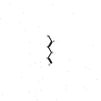 C=[C]C/[C]=C/C